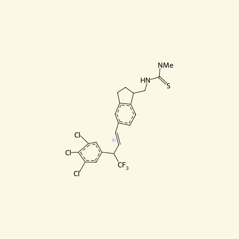 CNC(=S)NCC1CCc2cc(/C=C/C(c3cc(Cl)c(Cl)c(Cl)c3)C(F)(F)F)ccc21